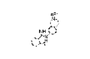 CCCN1CCc2ccc(NC(=N)C3=CC=CCC3=S)cc2C1